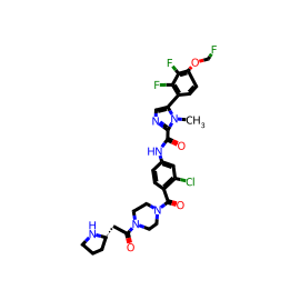 Cn1c(-c2ccc(OCF)c(F)c2F)cnc1C(=O)Nc1ccc(C(=O)N2CCN(C(=O)C[C@@H]3CCCN3)CC2)c(Cl)c1